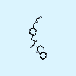 C[C@H]1c2ccccc2CC[C@H]1C(=O)NCc1ccc(CNC=O)cc1